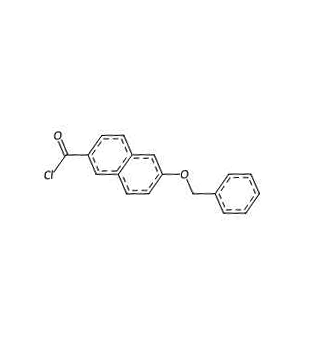 O=C(Cl)c1ccc2cc(OCc3ccccc3)ccc2c1